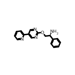 N[C@H](COc1ncc(-c2ccccn2)cn1)c1ccccc1